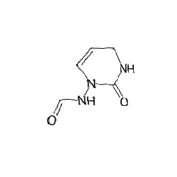 O=CNN1C=CCNC1=O